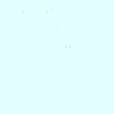 CC(=O)Oc1c(Cc2cccc(CC(C)C)c2)cccc1C(=O)O